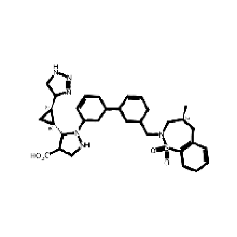 C[C@H]1CC2=C(CCC=C2)S(=O)(=O)N(CC2CC=CC(C3CC=CC(N4NCC(C(=O)O)C4[C@@H]4C[C@H]4C4CNN=N4)C3)C2)C1